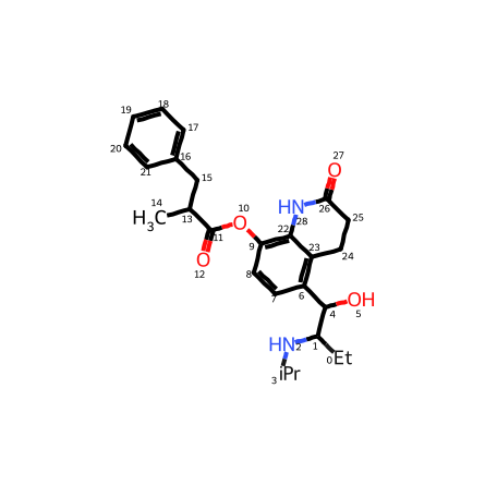 CCC(NC(C)C)C(O)c1ccc(OC(=O)C(C)Cc2ccccc2)c2c1CCC(=O)N2